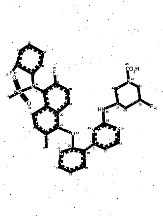 Cc1ccc2c(N(c3ccccc3F)S(C)(=O)=O)c(F)ccc2c1Oc1ncccc1-c1ccnc(NC2CC(F)CN(C(=O)O)C2)n1